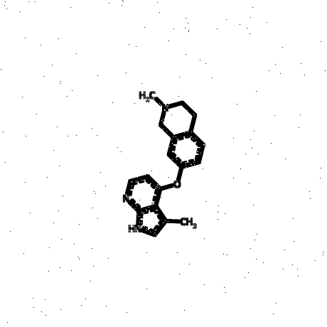 Cc1c[nH]c2nccc(Oc3ccc4c(c3)CN(C)CC4)c12